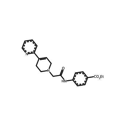 CCOC(=O)c1ccc(NC(=O)CN2CC=C(c3ccccn3)CC2)cc1